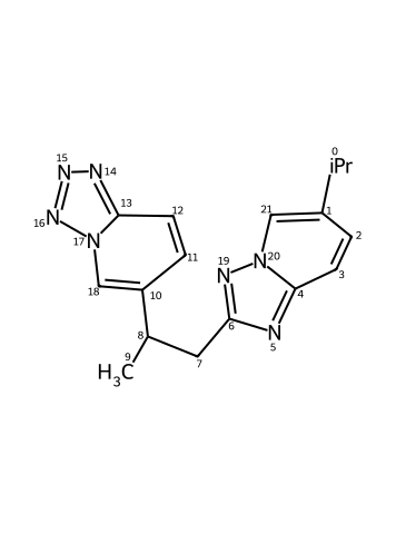 CC(C)c1ccc2nc(CC(C)c3ccc4nnnn4c3)nn2c1